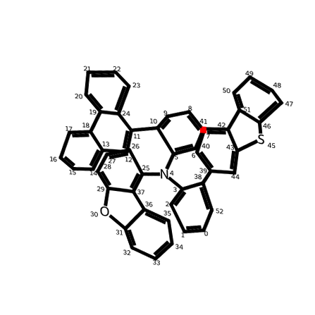 c1ccc(N(c2ccccc2-c2cc3ccccc3c3ccccc23)c2cccc3oc4ccccc4c23)c(-c2ccc3c(c2)sc2ccccc23)c1